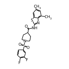 Cc1cc(C)c2nc(NC(=O)C3CCN(S(=O)(=O)c4ccc(F)c(F)c4)CC3)sc2c1